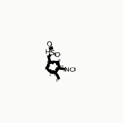 Cc1ccc(C[SH](=O)=O)cc1N=O